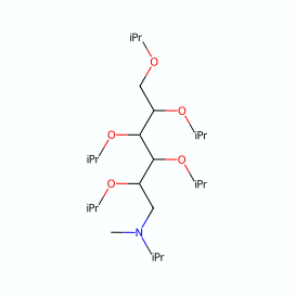 CC(C)OCC(OC(C)C)C(OC(C)C)C(OC(C)C)C(CN(C)C(C)C)OC(C)C